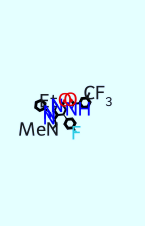 CCN1C(=O)[C@@H](NC(=O)c2cccc(C(F)(F)F)c2)[C@@H](c2ccc(F)cc2)c2c(CNC)nn(-c3ccccc3)c21